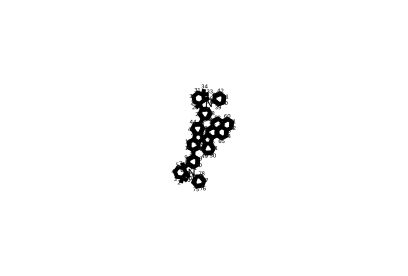 CC1(C)CCCC2(C)c3cc(-c4ccc5c(c4)C4(c6cc(-c7ccc8c(c7)C7(C)CCCC(C)(C)C7(C)N8c7ccccc7)ccc6-5)c5ccccc5-c5c4cc4ccc6cccc7ccc5c4c67)ccc3N(c3ccccc3)C12C